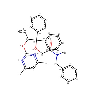 Cc1cc(C)nc(OC(C(=O)O)C(OCC(=O)N(C)Cc2ccccc2)(c2ccccc2)c2ccccc2)n1